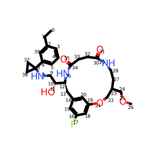 CCc1cccc(C2(NC[C@@H](O)[C@@H]3Cc4cc(F)cc(c4)OCC(COC)CCNC(=O)CCC(=O)N3)CC2)c1